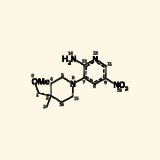 COCC1(C)CCN(c2cc([N+](=O)[O-])cnc2N)CC1